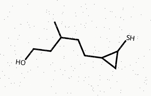 CC(CCO)CCC1CC1S